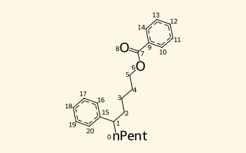 CCCCCC(CCCCOC(=O)c1ccccc1)c1ccccc1